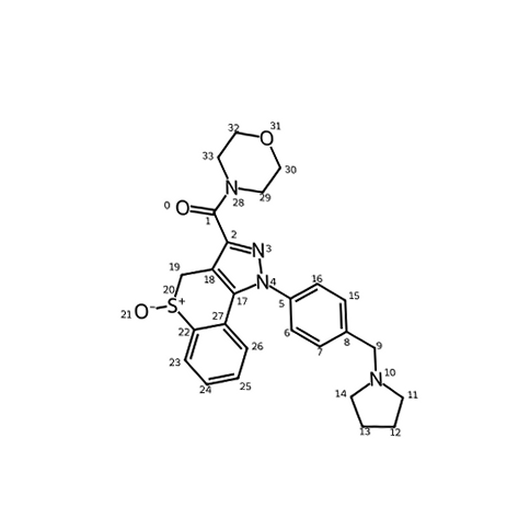 O=C(c1nn(-c2ccc(CN3CCCC3)cc2)c2c1C[S+]([O-])c1ccccc1-2)N1CCOCC1